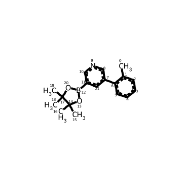 Cc1ccccc1-c1cncc(B2OC(C)(C)C(C)(C)O2)c1